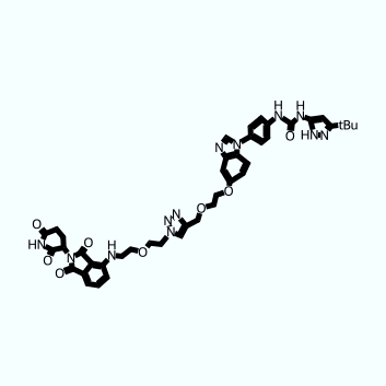 CC(C)(C)c1cc(NC(=O)Nc2ccc(-n3cnc4cc(OCCOCc5cn(CCOCCNc6cccc7c6C(=O)N(C6CCC(=O)NC6=O)C7=O)nn5)ccc43)cc2)[nH]n1